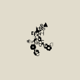 CC[C@@H]1C[C@]1(NC(=O)[C@@H]1C[C@@H](OC(=O)N2Cc3cccc(Cl)c3C2)CN1C(=O)[C@@H](Nc1cccc(N2CCOCC2)c1)C(C)(C)C)C(=O)NS(=O)(=O)C1CC1